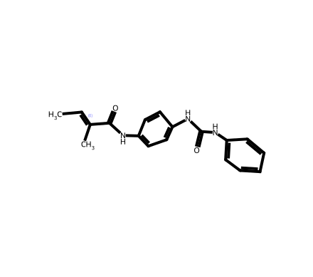 C/C=C(\C)C(=O)Nc1ccc(NC(=O)Nc2ccccc2)cc1